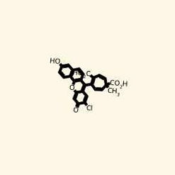 CC1(C(=O)O)C=CC(C(=O)O)=C(c2c3cc(Cl)c(=O)cc-3oc3c2ccc2cc(O)ccc23)C=C1